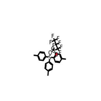 Cc1ccc(S(OS(=O)(=O)C(F)(F)C(F)(F)C(F)(F)F)(c2ccc(C)cc2)c2ccc(C)cc2)cc1